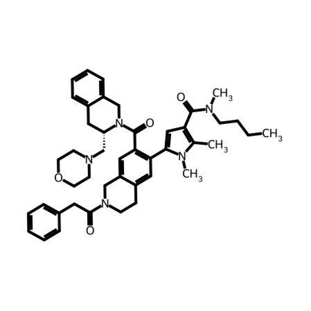 CCCCN(C)C(=O)c1cc(-c2cc3c(cc2C(=O)N2Cc4ccccc4C[C@H]2CN2CCOCC2)CN(C(=O)Cc2ccccc2)CC3)n(C)c1C